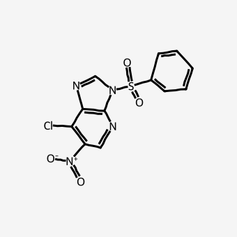 O=[N+]([O-])c1cnc2c(ncn2S(=O)(=O)c2ccccc2)c1Cl